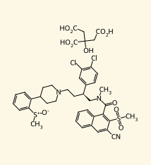 CN(C[C@@H](CCN1CCC(c2ccccc2[S+](C)[O-])CC1)c1ccc(Cl)c(Cl)c1)C(=O)c1c(S(C)(=O)=O)c(C#N)cc2ccccc12.O=C(O)CC(O)(CC(=O)O)C(=O)O